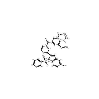 COc1cc(C(=O)c2cccc(-c3cc4cc(F)ccc4n3S(=O)(=O)c3ccccc3)c2)cc(OC)c1OC